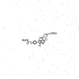 CNC(=O)COc1ccc(-c2nc3c(NC4CCN(CCOC)CC4)c(Cl)cnc3[nH]2)cc1